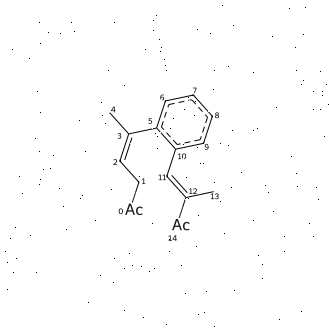 CC(=O)C/C=C(/C)c1ccccc1/C=C(\C)C(C)=O